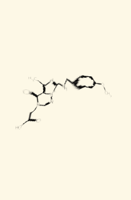 COc1ccc(CNC2=NC(C)=C3C(=O)N(CC(=O)O)C=N[N+]23)cc1